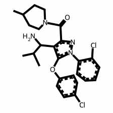 CC1CCN(C(=O)c2nn(-c3ccccc3Cl)c(Oc3ccc(Cl)cc3)c2C(N)C(C)C)CC1